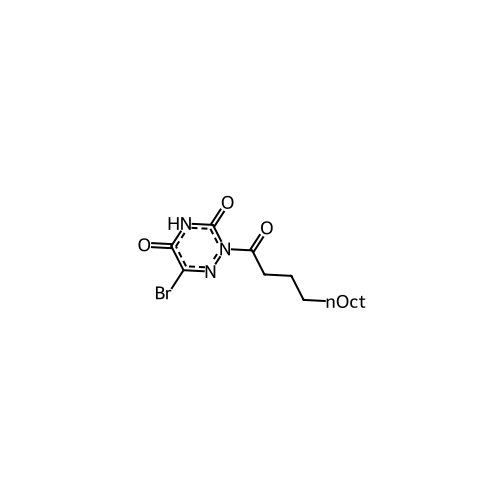 CCCCCCCCCCCC(=O)n1nc(Br)c(=O)[nH]c1=O